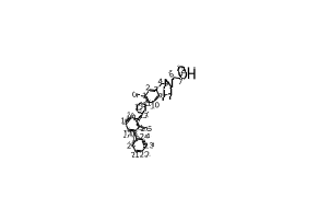 Cc1cc(CNCCO)ccc1OCc1cccc(-c2ccccc2)c1C